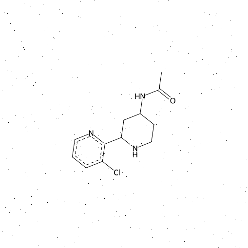 CC(=O)NC1CCNC(c2ncccc2Cl)C1